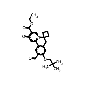 CCOC(=O)c1cn2c(cc1=O)-c1cc(C=O)c(OCC(C)(C)C)cc1CC21CCC1